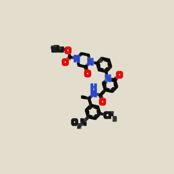 C[C@@H](NC(=O)c1ccc(=O)n(-c2cccc(N3CCN(C(=O)OC(C)(C)C)CC3=O)c2)c1)c1cc([N+](=O)[O-])cc(C(F)(F)F)c1